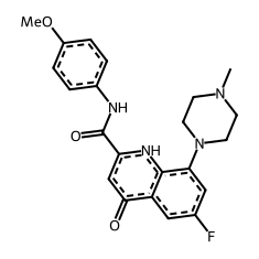 COc1ccc(NC(=O)c2cc(=O)c3cc(F)cc(N4CCN(C)CC4)c3[nH]2)cc1